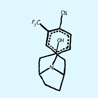 N#Cc1ccc(N2C3CCC2CC(O)C3)cc1C(F)(F)F